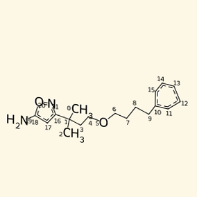 CC(C)(CCOCCCCc1ccccc1)c1cc(N)on1